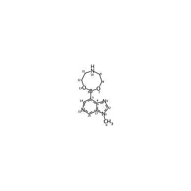 Cn1cnc2c(B3OCCNCCO3)cncc21